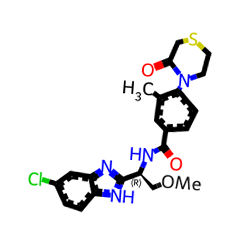 COC[C@H](NC(=O)c1ccc(N2CCSCC2=O)c(C)c1)c1nc2cc(Cl)ccc2[nH]1